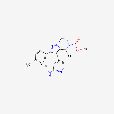 CC1c2c(-c3ccnc4[nH]ccc34)c(-c3ccc(C(F)(F)F)cc3)nn2CCN1C(=O)OC(C)(C)C